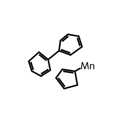 [Mn][C]1=CC=CC1.c1ccc(-c2ccccc2)cc1